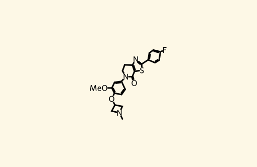 COc1cc(N2CCc3nc(-c4ccc(F)cc4)sc3C2=O)ccc1OC1CN(C)C1